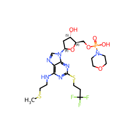 CSCCNc1nc(SCCC(F)(F)F)nc2c1ncn2[C@H]1C[C@H](O)[C@@H](COP(=O)(O)N2CCOCC2)O1